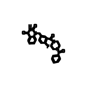 O=C(c1ccccc1)N1CCN(C(=O)c2cc(Cn3c(=O)[nH]c(=O)c4ccccc43)ccc2F)CC1